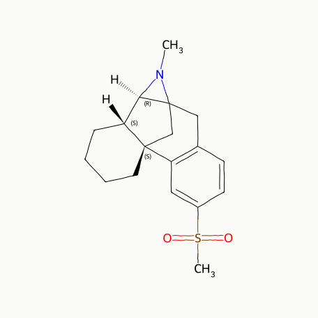 CN1[C@@H]2[C@H]3CCCC[C@]34CC21Cc1ccc(S(C)(=O)=O)cc14